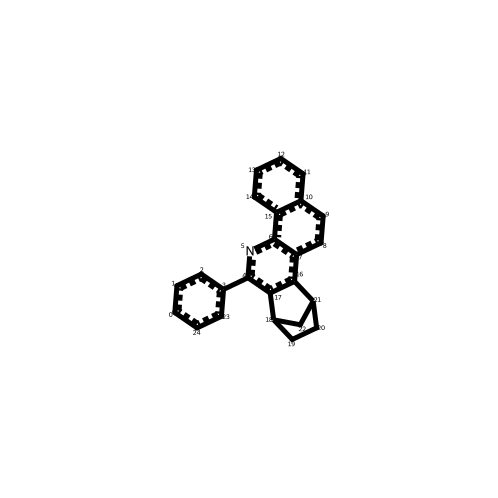 c1ccc(-c2nc3c(ccc4ccccc43)c3c2C2CCC3C2)cc1